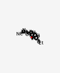 CCOC[C@H]1CC[C@]2(C3CC3)C3CC[C@@]4(C)C(CC[C@@H]4C(=O)Cn4cc(C#N)cn4)[C@@H]3CC[C@@H]2C1